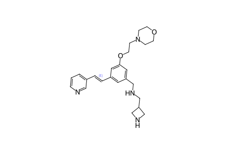 C(=C\c1cc(CNCC2CNC2)cc(OCCN2CCOCC2)c1)/c1cccnc1